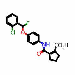 O=C(O)C1=C(C(=O)Nc2ccc(OC(F)c3ccccc3Cl)cc2)CCC1